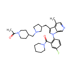 CC(=O)N1CCC(CN2CC[C@@H](Cc3cn(-c4ccc(F)cc4C(=O)N4CCCCC4)c4cncc(C)c34)C2)CC1